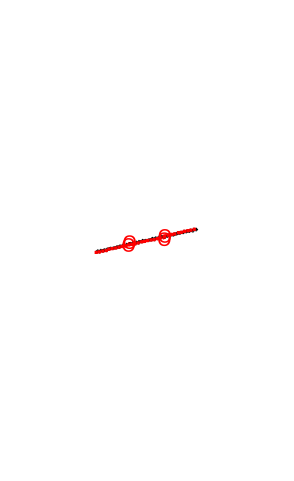 CCCCCCCCCCCCCCCCCCCCOC(=O)CCCCCCCCCCCCCCCCCCCCC(=O)OCCCCCCCCCCCCCCCCCCCC